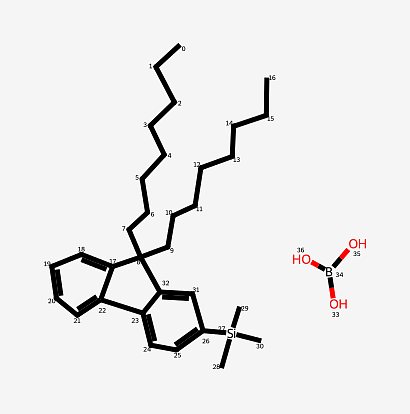 CCCCCCCCC1(CCCCCCCC)c2ccccc2-c2ccc([Si](C)(C)C)cc21.OB(O)O